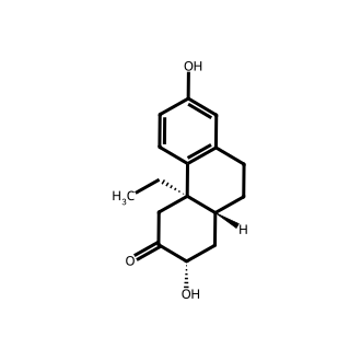 CC[C@@]12CC(=O)[C@@H](O)C[C@H]1CCc1cc(O)ccc12